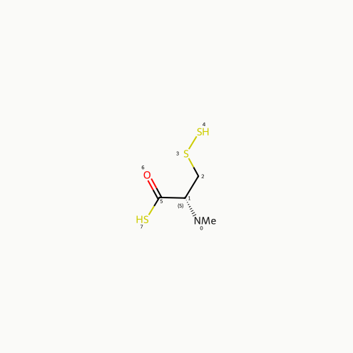 CN[C@@H](CSS)C(=O)S